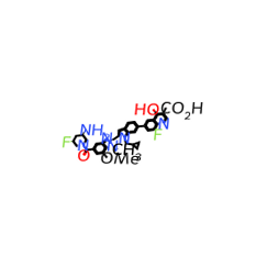 COc1cc(C(=O)N2C[C@H](N)C[C@@H](F)C2)cc2nc(-c3cc4ccc(-c5cc(F)c6ncc(C(=O)O)c(O)c6c5)cc4n3CC3CC3)n(C)c12